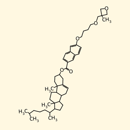 CC(C)CCCC(C)C1CCC2C3CC=C4CC(OC(=O)c5ccc6cc(OCCCCOCC7(C)COC7)ccc6c5)CCC4(C)C3CCC12C